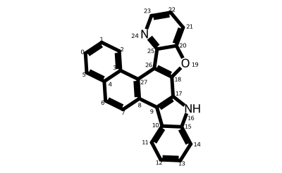 c1ccc2c(c1)ccc1c3c4ccccc4[nH]c3c3oc4cccnc4c3c21